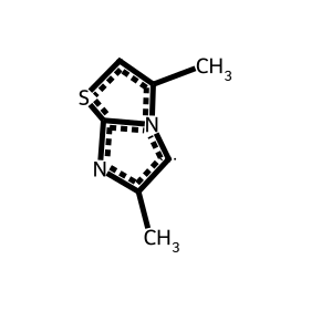 Cc1[c]n2c(C)csc2n1